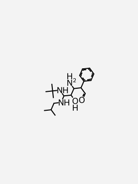 CC(C)CNC(NC(C)(C)C)C(O)C(N)C(C=O)c1ccccc1